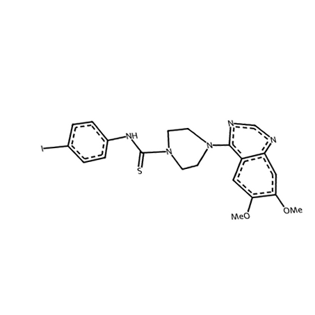 COc1cc2ncnc(N3CCN(C(=S)Nc4ccc(I)cc4)CC3)c2cc1OC